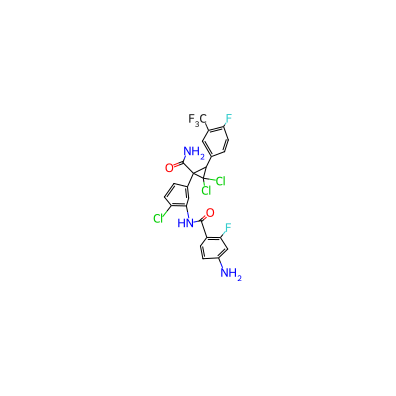 NC(=O)C1(c2ccc(Cl)c(NC(=O)c3ccc(N)cc3F)c2)C(c2ccc(F)c(C(F)(F)F)c2)C1(Cl)Cl